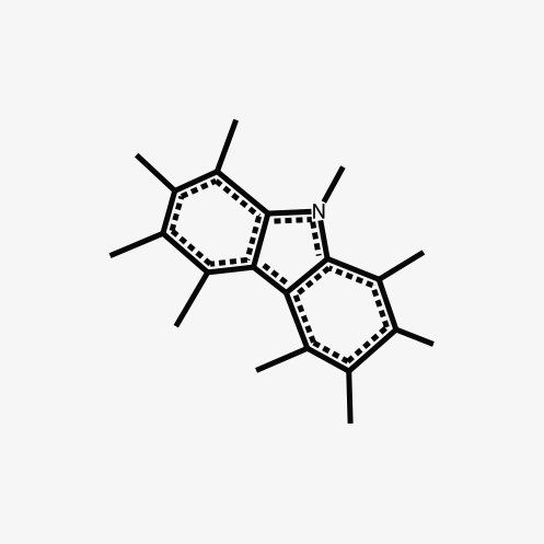 Cc1c(C)c(C)c2c(c1C)c1c(C)c(C)c(C)c(C)c1n2C